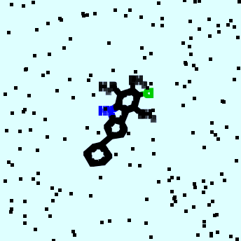 Bc1c(Cl)c(B)c2c([nH]c3cc(-c4ccccc4)ccc32)c1B